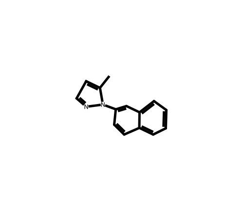 Cc1ccnn1-c1ccc2ccccc2c1